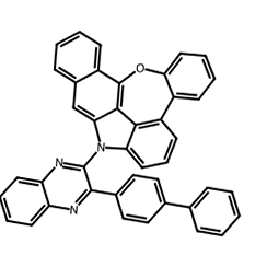 c1ccc(-c2ccc(-c3nc4ccccc4nc3-n3c4cccc5c6ccccc6oc6c7ccccc7cc3c6c54)cc2)cc1